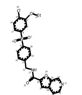 CCOc1cc(S(=O)(=O)c2ccc(CNC(=O)c3cc4ccncc4o3)cc2)ccc1Cl